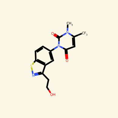 Cn1c(C(F)(F)F)cc(=O)n(-c2ccc3snc(CCO)c3c2)c1=O